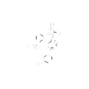 COc1cccc(C2CNC(=O)N2c2cnc(Oc3ccc(Cl)cc3)cn2)c1